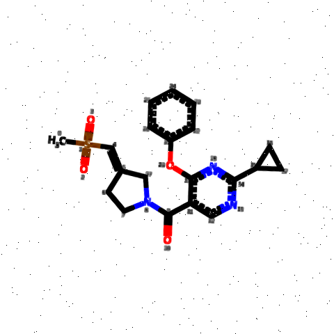 CS(=O)(=O)/C=C1\CCN(C(=O)c2cnc(C3CC3)nc2Oc2ccccc2)C1